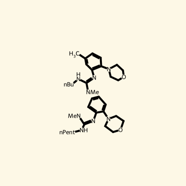 CCCCCN/C(=N/c1ccccc1N1CCOCC1)NC.CCCCN/C(=N\c1cc(C)ccc1N1CCOCC1)NC